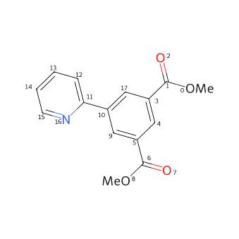 COC(=O)c1cc(C(=O)OC)cc(-c2ccccn2)c1